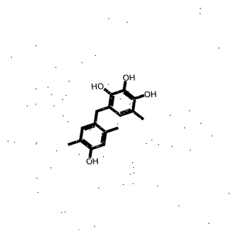 Cc1cc(Cc2cc(C)c(O)c(O)c2O)c(C)cc1O